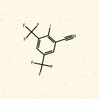 N#Cc1cc(C(F)(F)F)cc(C(F)(F)F)c1I